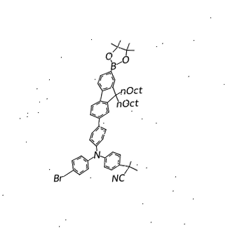 CCCCCCCCC1(CCCCCCCC)c2cc(B3OC(C)(C)C(C)(C)O3)ccc2-c2ccc(-c3ccc(N(c4ccc(Br)cc4)c4ccc(C(C)(C)C#N)cc4)cc3)cc21